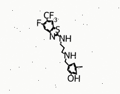 Cc1cc(O)cc(CNCCCNc2nc3cc(F)c(C(F)(F)F)cc3s2)c1